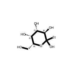 CCC1(O)O[C@H](CO)[C@H](O)[C@H](O)[C@H]1O